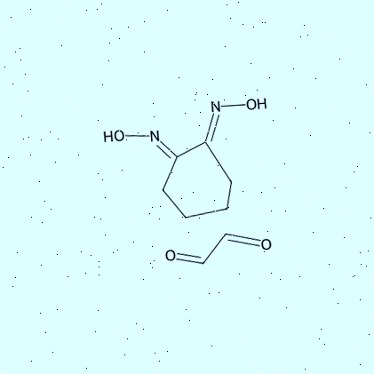 O=CC=O.ON=C1CCCCC1=NO